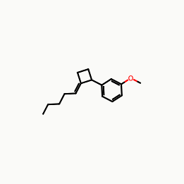 CCCC/C=C1\CCC1c1cccc(OC)c1